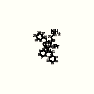 CC(C)[C@H](c1nc2ccccc2n1Cc1ccccc1)N(CCCN)C(=O)Cc1ccccc1